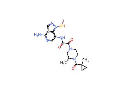 CC1CN(C(=O)C(=O)Nc2cnc(N)c3cnn(PI)c23)CCN1C(=O)C1(C)CC1